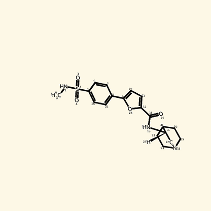 CNS(=O)(=O)c1ccc(-c2ccc(C(=O)N[C@H]3CN4CCC3CC4)o2)cc1